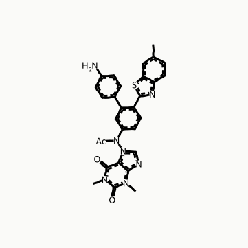 CC(=O)N(c1ccc(-c2nc3ccc(C)cc3s2)c(-c2ccc(N)cc2)c1)n1cnc2c1c(=O)n(C)c(=O)n2C